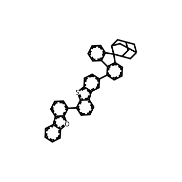 c1ccc2c(c1)-c1c(-c3ccc4sc5c(-c6cccc7c6oc6ccccc67)cccc5c4c3)cccc1C21C2CC3CC(C2)CC1C3